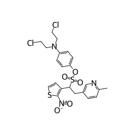 Cc1ccc(CC(c2ccsc2[N+](=O)[O-])S(=O)(=O)Oc2ccc(N(CCCl)CCCl)cc2)cn1